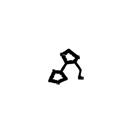 CC(C)(C)Cc1ncoc1-c1cncs1